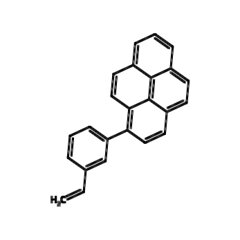 C=Cc1cccc(-c2ccc3ccc4cccc5ccc2c3c45)c1